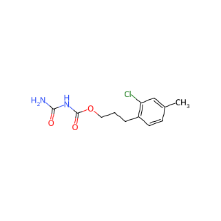 Cc1ccc(CCCOC(=O)NC(N)=O)c(Cl)c1